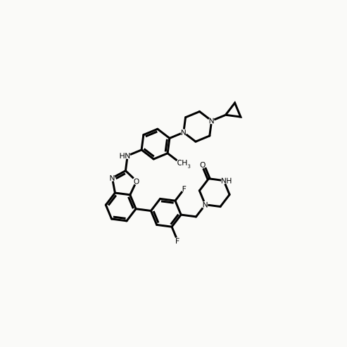 Cc1cc(Nc2nc3cccc(-c4cc(F)c(CN5CCNC(=O)C5)c(F)c4)c3o2)ccc1N1CCN(C2CC2)CC1